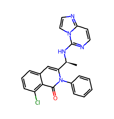 C[C@H](Nc1nccc2nccn12)c1cc2cccc(Cl)c2c(=O)n1-c1ccccc1